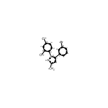 [CH2]c1cc(-c2cccc(Br)c2)n(-c2ccc(Cl)cc2Cl)n1